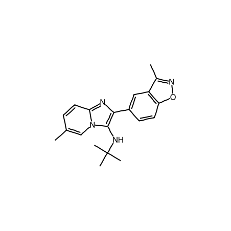 Cc1ccc2nc(-c3ccc4onc(C)c4c3)c(NC(C)(C)C)n2c1